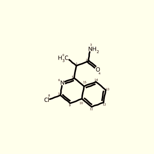 CC(C(N)=O)c1nc(Cl)cc2ccccc12